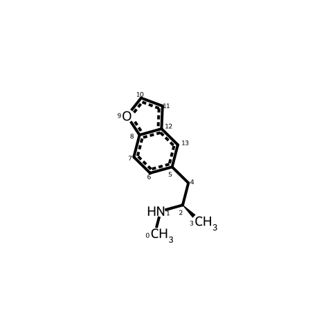 CN[C@H](C)Cc1ccc2occc2c1